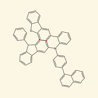 c1ccc(C2c3ccccc3-c3cc(N(c4ccc(-c5cccc6ccccc56)cc4)c4ccccc4-c4ccc5oc6ccccc6c5c4)ccc32)cc1